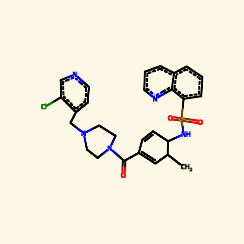 CC1C=C(C(=O)N2CCN(Cc3ccncc3Cl)CC2)C=CC1NS(=O)(=O)c1cccc2cccnc12